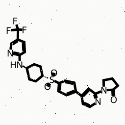 O=C1CCCN1c1cc(-c2ccc(S(=O)(=O)[C@H]3CC[C@H](Nc4ccc(C(F)(F)F)cn4)CC3)cc2)ccn1